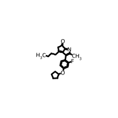 CCCCC1=C2C(=NC(C)=C2c2ccc(OC3CCCC3)cc2F)C(=O)C1